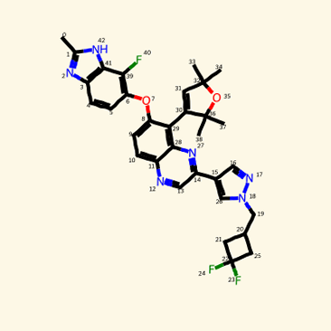 Cc1nc2ccc(Oc3ccc4ncc(-c5cnn(CC6CC(F)(F)C6)c5)nc4c3C3=CC(C)(C)OC3(C)C)c(F)c2[nH]1